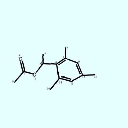 CC(=O)OC(C)c1c(C)cc(C)cc1C